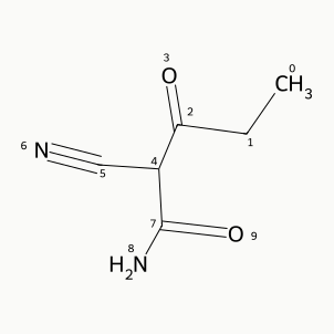 CCC(=O)C(C#N)C(N)=O